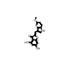 COc1ccc2[nH]cc(/C=C3\Oc4cc(O)cc(O)c4C3=O)c2n1